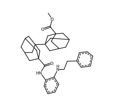 COC(=O)C12CC3CC(C1)CC(C14CC5CC(CC(C(=O)Nc6ccccc6NCCc6ccccc6)(C5)C1)C4)(C3)C2